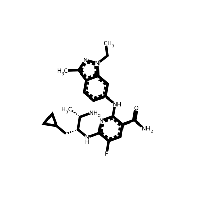 CCn1nc(C)c2ccc(Nc3nc(N[C@H](CC4CC4)[C@H](C)N)c(F)cc3C(N)=O)cc21